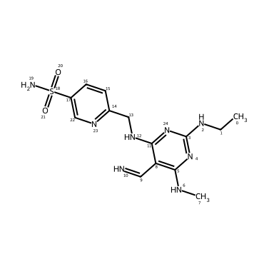 CCNc1nc(NC)c(C=N)c(NCc2ccc(S(N)(=O)=O)cn2)n1